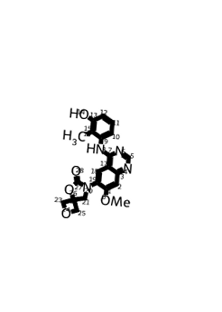 COc1cc2ncnc(Nc3cccc(O)c3C)c2cc1N1CC2(COC2)OC1=O